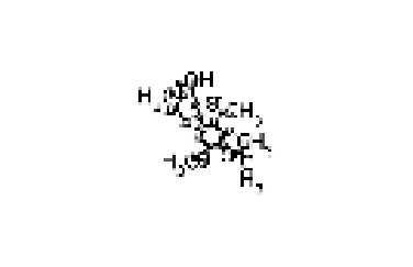 COc1cc(C2CCC(C)(CO)CC2)c(C(C)=O)cc1OC(C)C